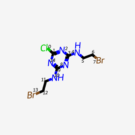 Clc1nc(NCCBr)nc(NCCBr)n1